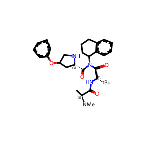 CN[C@@H](C)C(=O)N[C@H](C(=O)N(C(=O)[C@@H]1CC(Oc2ccccc2)CN1)C1CCCc2ccccc21)C(C)(C)C